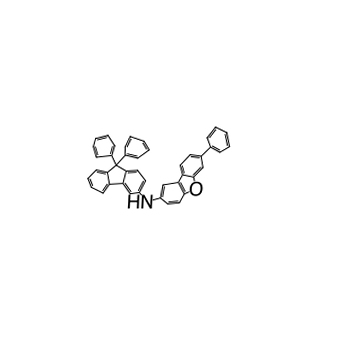 c1ccc(-c2ccc3c(c2)oc2ccc(Nc4ccc5c(c4)-c4ccccc4C5(c4ccccc4)c4ccccc4)cc23)cc1